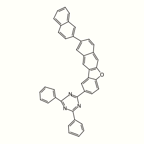 c1ccc(-c2nc(-c3ccccc3)nc(-c3ccc4oc5cc6ccc(-c7ccc8ccccc8c7)cc6cc5c4c3)n2)cc1